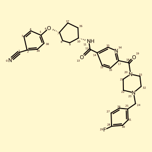 N#Cc1ccc(O[C@H]2CC[C@@H](NC(=O)c3ccc(C(=O)N4CCN(Cc5ccc(F)cc5)CC4)nc3)CC2)cc1